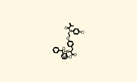 C=C(C)C(=O)N(CCOc1ccc(CC(Nc2ccccc2C(=O)c2ccccc2)C(=O)OC)cc1)c1ccc(Cl)cc1